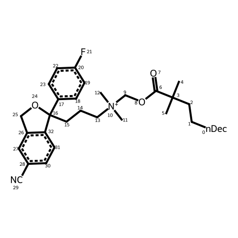 CCCCCCCCCCCCC(C)(C)C(=O)OC[N+](C)(C)CCCC1(c2ccc(F)cc2)OCc2cc(C#N)ccc21